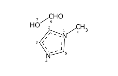 Cn1ccnc1.O=CO